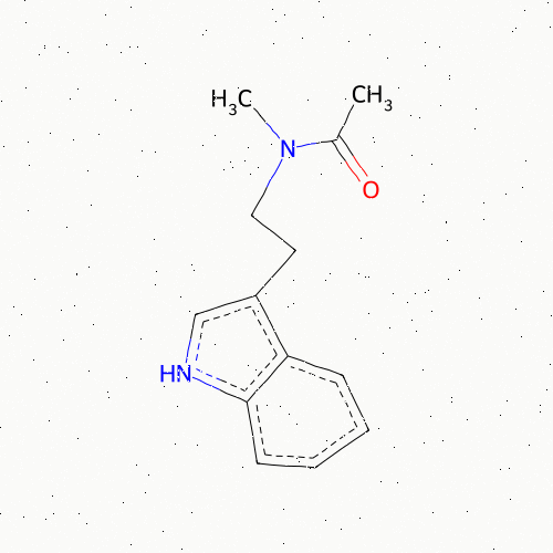 CC(=O)N(C)CCc1c[nH]c2ccccc12